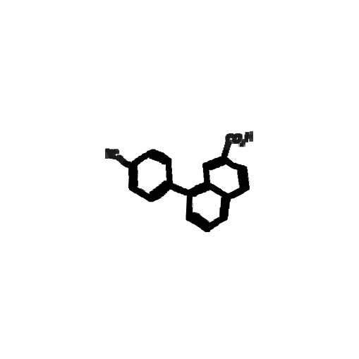 N#Cc1ccc(-c2cccc3ccc(C(=O)O)cc23)cc1